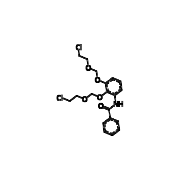 O=C(Nc1cccc(OCOCCCl)c1OCOCCCl)c1ccccc1